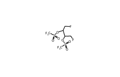 O=S(=O)(OC(CF)C(CF)OS(=O)(=O)C(F)(F)F)C(F)(F)F